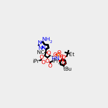 CCC(C)(C)COC(=O)[C@H](C)NP(=O)(OC[C@H]1O[C@@](C#N)(c2ccc3c(N)ncnn23)[C@H](OC(=O)C(C)C)[C@@H]1OC(=O)C(C)C)Oc1ccc(C(C)(C)C)cc1